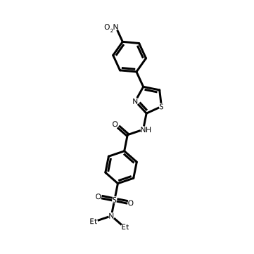 CCN(CC)S(=O)(=O)c1ccc(C(=O)Nc2nc(-c3ccc([N+](=O)[O-])cc3)cs2)cc1